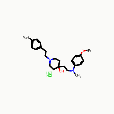 CSc1ccc(CCN2CCC(O)(CCN(C)c3ccc(OC(C)C)cc3)CC2)cc1.Cl.Cl